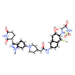 Cn1nc([C@@H]2CCC(=O)NC2=O)c2ccc(N3CCC(CC(=O)Nc4ccc5c(F)c(N6CC(=O)NS6(=O)=O)c(O)cc5c4)CC3)cc21